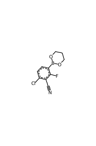 N#Cc1c(Cl)ccc(B2OCCCO2)c1F